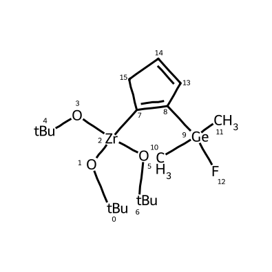 CC(C)(C)[O][Zr]([O]C(C)(C)C)([O]C(C)(C)C)[C]1=[C]([Ge]([CH3])([CH3])[F])C=CC1